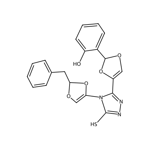 Oc1ccccc1C1OC=C(c2nnc(S)n2C2=COC(Cc3ccccc3)O2)O1